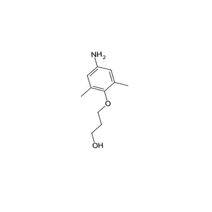 Cc1cc(N)cc(C)c1OCCCO